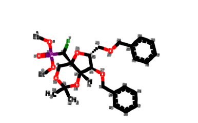 CCOP(=O)(OCC)C(F)[C@]12COC(C)(C)O[C@H]1[C@H](OCc1ccccc1)[C@@H](COCc1ccccc1)O2